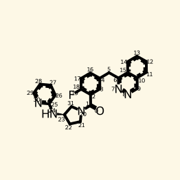 O=C(c1cc(Cc2nncc3ccccc23)ccc1F)N1CC[C@@H](Nc2ccccn2)C1